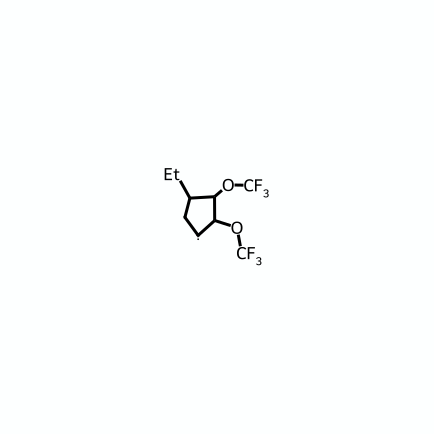 [CH2]CC1C[CH]C(OC(F)(F)F)C1OC(F)(F)F